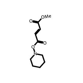 COC(=O)/C=C/C(=O)ON1CCCCC1